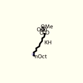 CCCCCCCC/C=C\CCCCCCCC(=O)OS(=O)(=O)OC.[KH]